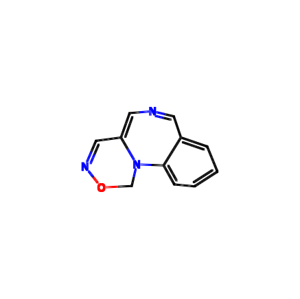 C1=NC=C2C=NOCN2c2ccccc21